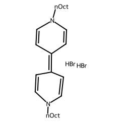 Br.Br.CCCCCCCCN1C=CC(=C2C=CN(CCCCCCCC)C=C2)C=C1